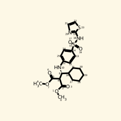 COC(=O)C(C(=O)OC)[C@H](Nc1ccc(S(=O)(=O)Nc2nccs2)cc1)C1CCCCC1